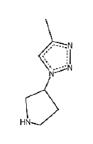 Cc1cn(C2CCNC2)nn1